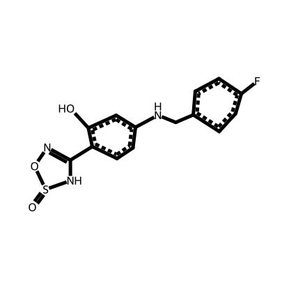 O=S1NC(c2ccc(NCc3ccc(F)cc3)cc2O)=NO1